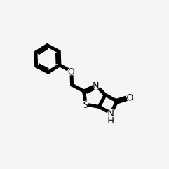 O=C1NC2SC(COc3ccccc3)=NC12